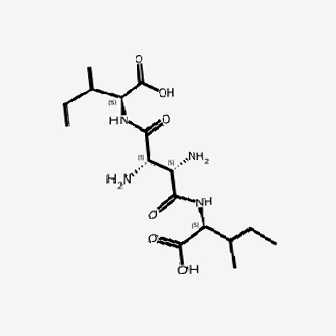 CCC(C)[C@H](NC(=O)[C@@H](N)[C@H](N)C(=O)N[C@H](C(=O)O)C(C)CC)C(=O)O